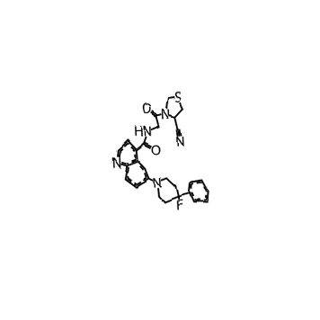 N#CC1CSCN1C(=O)CNC(=O)c1ccnc2ccc(N3CCC(F)(c4ccccc4)CC3)cc12